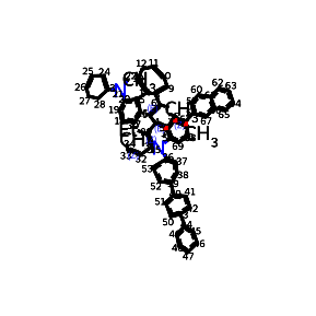 C\C=C/C=C(\C=C(/C)C1=CC=CCC=C1c1ccccc1N(C)C1=CC=CCC1)C(/CC)=C(/C=C\C)N(c1ccc(-c2ccc(-c3ccccc3)cc2)cc1)c1ccc(-c2ccc3ccccc3c2)cc1